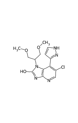 COCC(COC)n1c(O)nc2ncc(Cl)c(-c3cc[nH]n3)c21